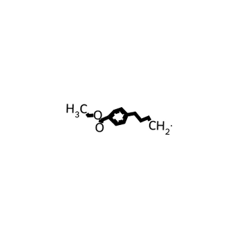 [CH2]CCCc1ccc(C(=O)OCC)cc1